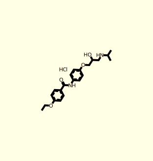 CCOc1ccc(C(=O)Nc2ccc(OCC(O)CNC(C)C)cc2)cc1.Cl